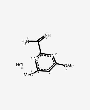 COc1cc(OC)nc(C(=N)N)n1.Cl